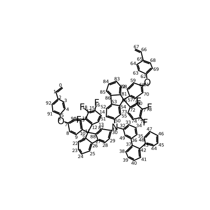 C=Cc1ccc(Oc2ccc(C3(c4ccc(F)c(F)c4F)c4ccccc4-c4ccc(N(c5cccc(-c6ccccc6-c6ccccc6)c5)c5ccc6c(c5)C(c5ccc(Oc7ccc(C=C)cc7)cc5)(c5ccc(F)c(F)c5F)c5ccccc5-6)cc43)cc2)cc1